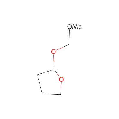 [CH2]OCOC1CCCO1